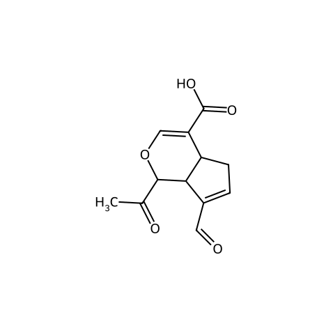 CC(=O)C1OC=C(C(=O)O)C2CC=C(C=O)C21